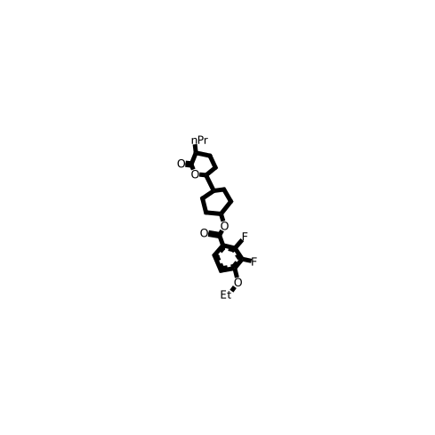 CCCC1CCC(C2CCC(OC(=O)c3ccc(OCC)c(F)c3F)CC2)OC1=O